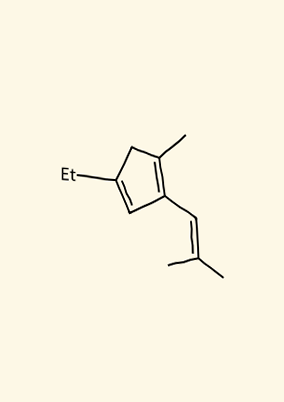 CCC1=CC(C=C(C)C)=C(C)C1